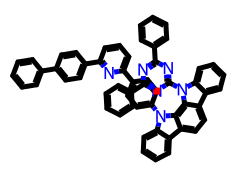 c1ccc(-c2ccc(-c3cccc(-c4ccc(-n5c6ccccc6c6ccc7c8ccccc8n(-c8nc(-c9ccccc9)nc(-c9ccccc9)n8)c7c65)cc4)n3)cc2)cc1